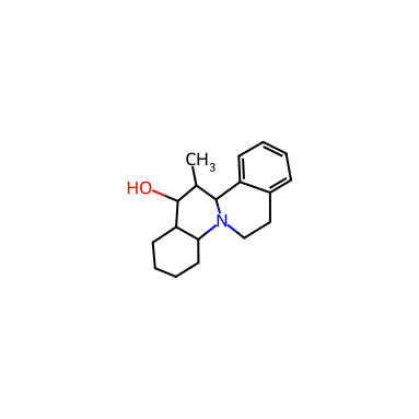 CC1C(O)C2CCCCC2N2CCc3ccccc3C12